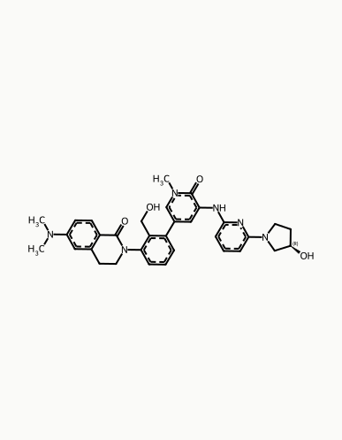 CN(C)c1ccc2c(c1)CCN(c1cccc(-c3cc(Nc4cccc(N5CC[C@@H](O)C5)n4)c(=O)n(C)c3)c1CO)C2=O